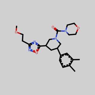 COCCc1noc(C2CC(c3ccc(C)c(C)c3)CN(C(=O)N3CCOCC3)C2)n1